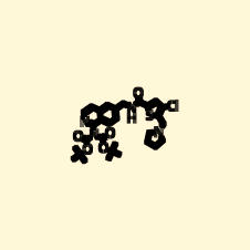 CC(C)(C)OC(=O)N(C(=O)OC(C)(C)C)c1nccc2cc(CNC(=O)c3cc(Cl)c(CN4CCCC4)s3)ccc12